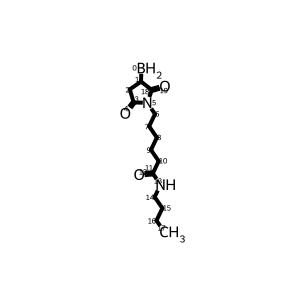 BC1CC(=O)N(CCCCCC(=O)NCCCC)C1=O